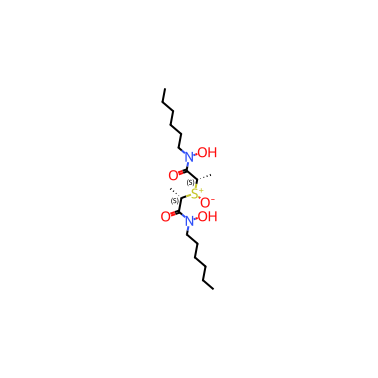 CCCCCCN(O)C(=O)[C@H](C)[S+]([O-])[C@@H](C)C(=O)N(O)CCCCCC